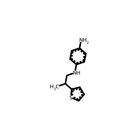 CC(CNc1ccc(N)cc1)c1cccs1